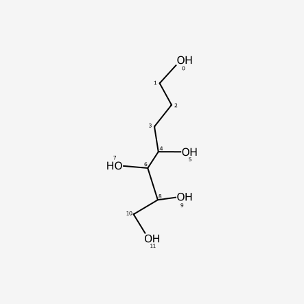 OCCCC(O)C(O)C(O)CO